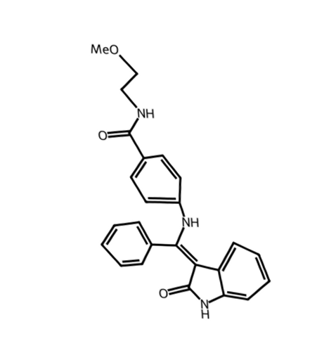 COCCNC(=O)c1ccc(NC(=C2C(=O)Nc3ccccc32)c2ccccc2)cc1